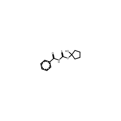 O=C(NC(=S)OC1(O)CCCC1)c1ccccc1